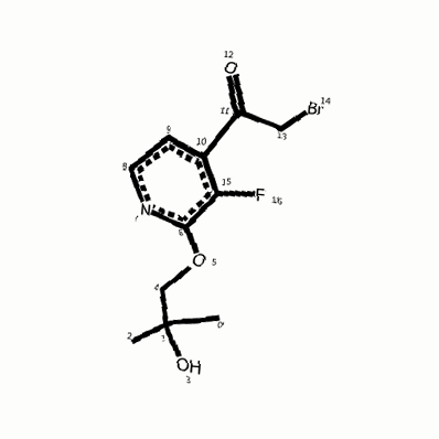 CC(C)(O)COc1nccc(C(=O)CBr)c1F